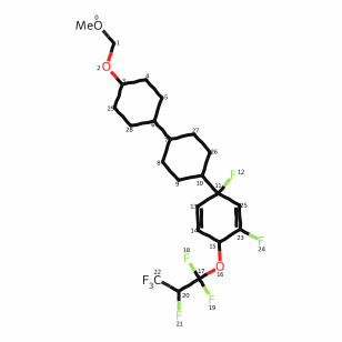 COCOC1CCC(C2CCC(C3(F)C=CC(OC(F)(F)C(F)C(F)(F)F)C(F)=C3)CC2)CC1